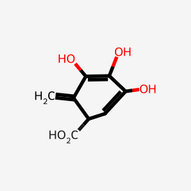 C=C1C(O)=C(O)C(O)=CC1C(=O)O